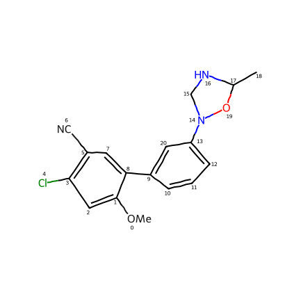 COc1cc(Cl)c(C#N)cc1-c1cccc(N2CNC(C)O2)c1